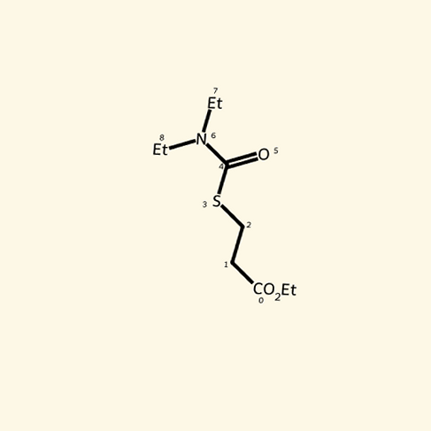 CCOC(=O)CCSC(=O)N(CC)CC